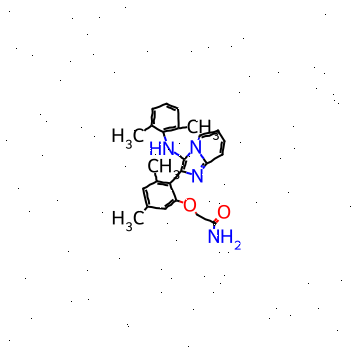 Cc1cc(C)c(-c2nc3ccccn3c2Nc2c(C)cccc2C)c(OCC(N)=O)c1